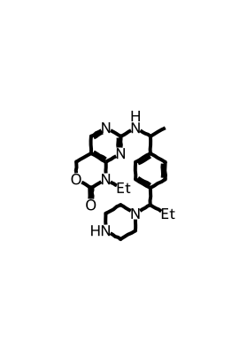 CCC(c1ccc(C(C)Nc2ncc3c(n2)N(CC)C(=O)OC3)cc1)N1CCNCC1